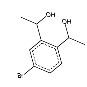 CC(O)c1ccc(Br)cc1C(C)O